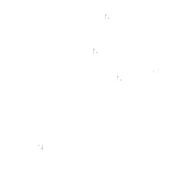 Nc1cc(Cl)nc(SCc2ccnc3ccccc23)n1